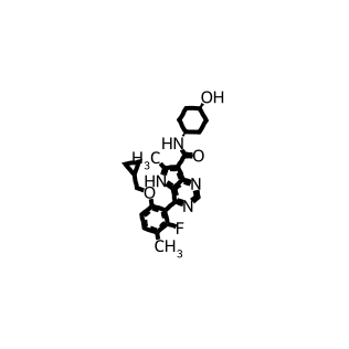 Cc1ccc(OCC2CC2)c(-c2ncnc3c(C(=O)N[C@H]4CC[C@H](O)CC4)c(C)[nH]c23)c1F